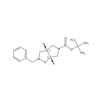 CC(C)(C)OC(=O)N1C[C@H]2CN(Cc3ccccc3)O[C@H]2C1